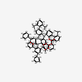 CC(C)c1cccc(C(C)C)c1-c1cccc(N2c3cc(-c4c(C(C)C)cccc4C(C)C)ccc3B3c4cc(-c5ccccc5)ccc4N(c4c(-c5ccccc5)cc(-c5ccccc5)cc4-c4ccccc4)c4cc(-c5c(C(C)C)cccc5C(C)C)cc2c43)c1